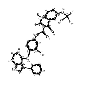 Cc1c(C(=O)Nc2ccc(Oc3ncnc4[nH]cc(-c5ccccc5)c34)c(F)c2)c(=O)c2cc(OC(F)(F)F)ccc2n1C